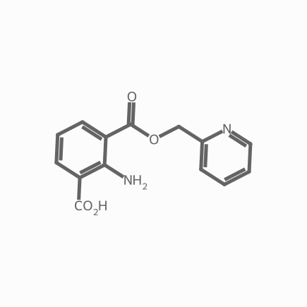 Nc1c(C(=O)O)cccc1C(=O)OCc1ccccn1